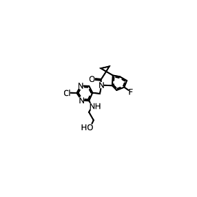 O=C1N(Cc2cnc(Cl)nc2NCCO)c2cc(F)ccc2C12CC2